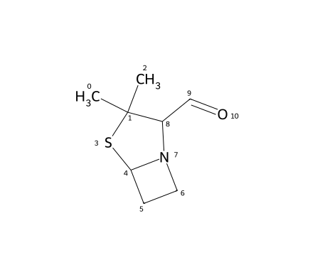 CC1(C)SC2CCN2C1C=O